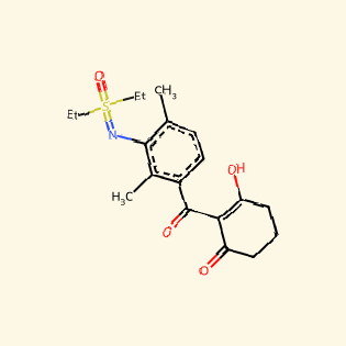 CCS(=O)(CC)=Nc1c(C)ccc(C(=O)C2=C(O)CCCC2=O)c1C